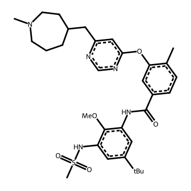 COc1c(NC(=O)c2ccc(C)c(Oc3cc(CC4CCCN(C)CC4)ncn3)c2)cc(C(C)(C)C)cc1NS(C)(=O)=O